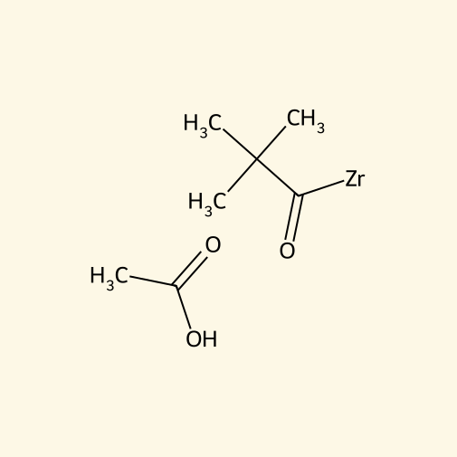 CC(=O)O.CC(C)(C)[C](=O)[Zr]